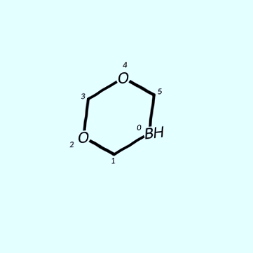 B1COCOC1